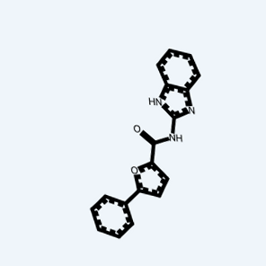 O=C(Nc1nc2ccccc2[nH]1)c1ccc(-c2ccccc2)o1